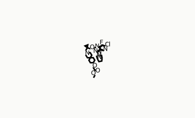 CCOC(=O)COC1CCC2(CC1)CCN(CC1(COc3nc(N4CC5CCC(C4)N5)c4cnc(Cl)c(F)c4n3)CC1)CC2